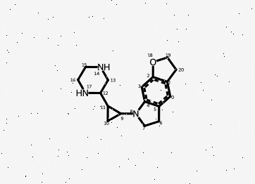 c1c2c(cc3c1CCN3C1CC1C1CNCCN1)OCC2